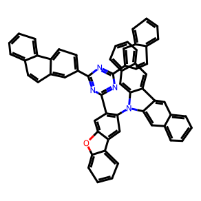 c1ccc2cc(-c3nc(-c4ccc5c(ccc6ccccc65)c4)nc(-c4cc5oc6ccccc6c5cc4-n4c5cc6ccccc6cc5c5cc6ccccc6cc54)n3)ccc2c1